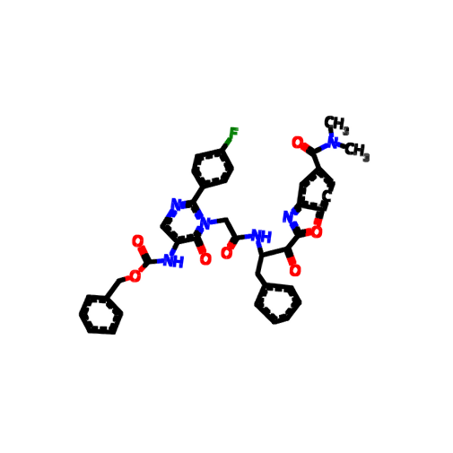 CN(C)C(=O)c1ccc2oc(C(=O)C(Cc3ccccc3)NC(=O)Cn3c(-c4ccc(F)cc4)ncc(NC(=O)OCc4ccccc4)c3=O)nc2c1